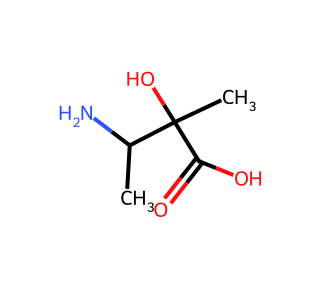 CC(N)C(C)(O)C(=O)O